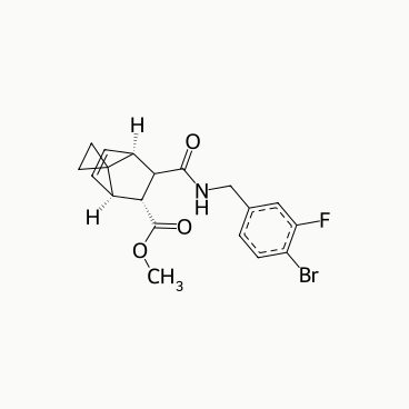 COC(=O)[C@H]1C(C(=O)NCc2ccc(Br)c(F)c2)[C@@H]2C=C[C@H]1C21CC1